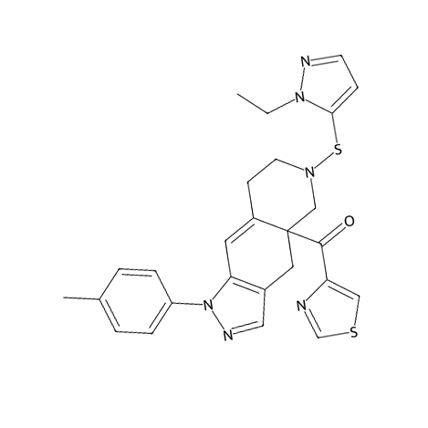 CCn1nccc1SN1CCC2=Cc3c(cnn3-c3ccc(C)cc3)CC2(C(=O)c2cscn2)C1